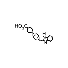 O=C(O)c1ccc(N2CCN(Cc3nc4ccccc4[nH]3)CC2)cc1